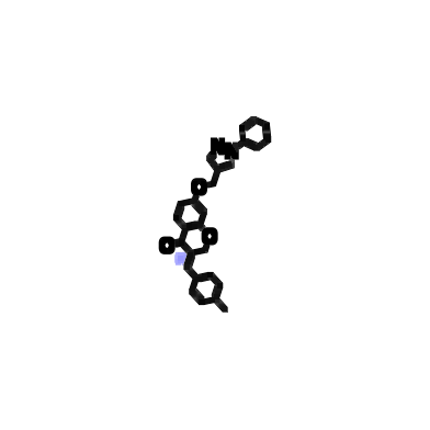 Cc1ccc(/C=C2\COc3cc(OCc4cnn(-c5ccccc5)c4)ccc3C2=O)cc1